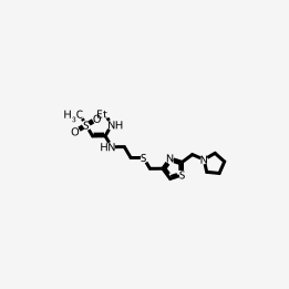 CCNC(=CS(C)(=O)=O)NCCSCc1csc(CN2CCCC2)n1